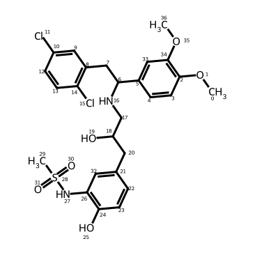 COc1ccc(C(Cc2cc(Cl)ccc2Cl)NCC(O)Cc2ccc(O)c(NS(C)(=O)=O)c2)cc1OC